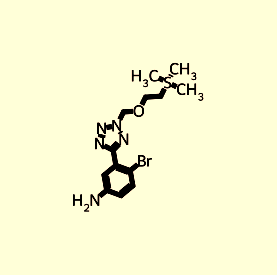 CS(C)(C)CCOCn1nnc(-c2cc(N)ccc2Br)n1